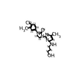 Cc1cc(NCCCO)nc(N2CCN(c3ccc(Cl)c(C)c3)C2=O)n1